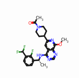 COc1nc(C2CCN(C(C)=O)CC2)cc2c(N[C@H](C)c3cccc(C(F)F)c3F)ncnc12